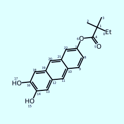 CCC(C)(C)C(=O)Oc1ccc2cc3cc(O)c(O)cc3cc2c1